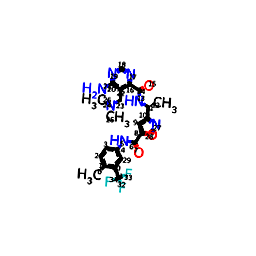 Cc1ccc(NC(=O)c2cc([C@@H](C)NC(=O)c3ncnc(N)c3CN(C)C)no2)cc1C(F)(F)F